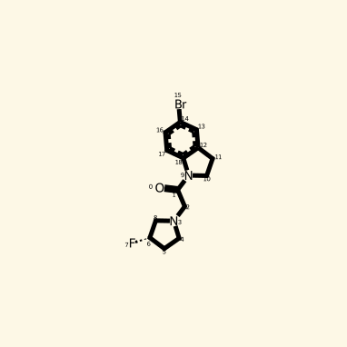 O=C(CN1CC[C@H](F)C1)N1CCc2cc(Br)ccc21